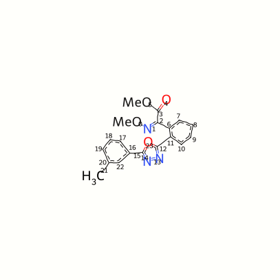 CON=C(C(=O)OC)c1ccccc1-c1nnc(-c2cccc(C)c2)o1